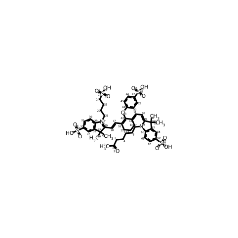 CC(=O)CCCCCN1/C(=C\C=C2/CCCC(/C=C/C3=[N+](CCCCS(=O)(=O)O)c4ccc(S(=O)(=O)O)cc4C3(C)C)=C2Oc2ccc(S(=O)(=O)O)cc2)C(C)(C)c2cc(S(=O)(=O)O)ccc21